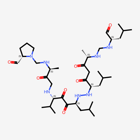 CC(C)C[C@@H](C=O)NCN[C@@H](C)C(=O)CC(=O)[C@H](CC(C)C)NN[C@@H](CC(C)C)C(=O)C(=O)[C@@H](NCC(=O)[C@H](C)NCN1CCC[C@H]1C=O)C(C)C